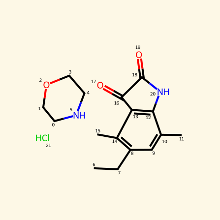 C1COCCN1.CCc1cc(C)c2c(c1C)C(=O)C(=O)N2.Cl